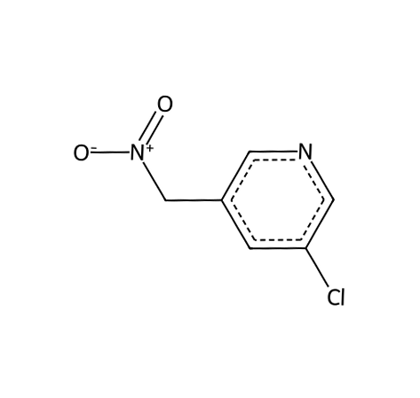 O=[N+]([O-])Cc1cncc(Cl)c1